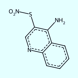 Nc1c(S[N+](=O)[O-])cnc2ccccc12